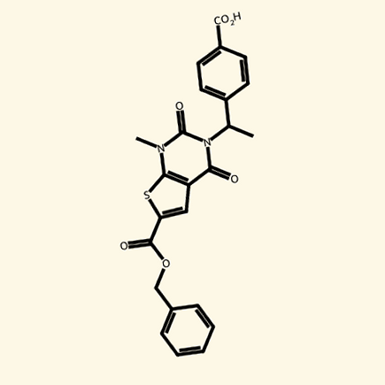 CC(c1ccc(C(=O)O)cc1)n1c(=O)c2cc(C(=O)OCc3ccccc3)sc2n(C)c1=O